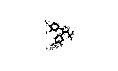 COc1ccc(-c2noc(C(F)(F)F)c2-c2ccc(S(N)(=O)=O)c(F)c2)cc1Cl